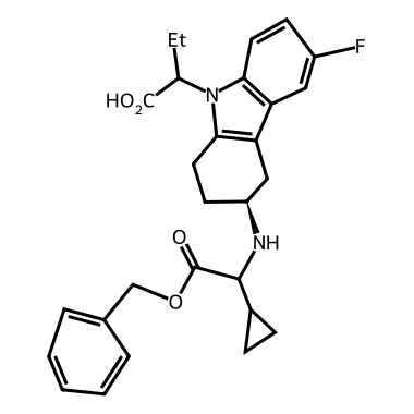 CCC(C(=O)O)n1c2c(c3cc(F)ccc31)C[C@@H](NC(C(=O)OCc1ccccc1)C1CC1)CC2